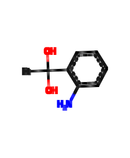 CCC(O)(O)c1ccccc1N